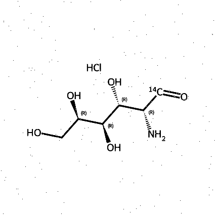 Cl.N[C@@H]([14CH]=O)[C@@H](O)[C@@H](O)[C@H](O)CO